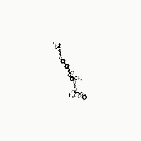 C=CC(=O)OCCCCOc1ccc(-c2ccc(/C=C/C(=O)Oc3ccc(OCCCOC(=O)C(=C)CC(=O)OC4CCCCC4)c(C)c3)cc2)cc1